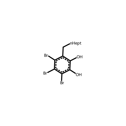 CCCCCCCCc1c(O)c(O)c(Br)c(Br)c1Br